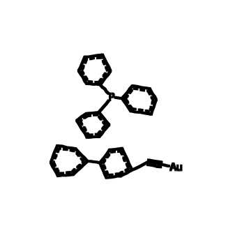 [Au][C]#Cc1ccc(-c2ccccc2)cc1.c1ccc(P(c2ccccc2)c2ccccc2)cc1